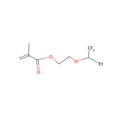 C=C(C)C(=O)OCCOC(CC)C(F)(F)F